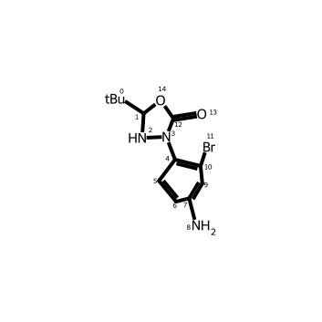 CC(C)(C)C1NN(c2ccc(N)cc2Br)C(=O)O1